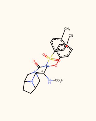 Cc1ccc(S(=O)(=O)NC(=O)N2CC3CCC(C2)N3C[C@@H](COc2ccc(C#N)cc2)NC(=O)O)cc1